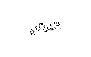 Cc1cnccc1C(=O)Nc1ccc(-c2cc(-c3nccs3)oc2C)cc1